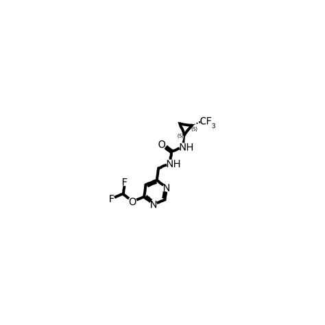 O=C(NCc1cc(OC(F)F)ncn1)N[C@H]1C[C@@H]1C(F)(F)F